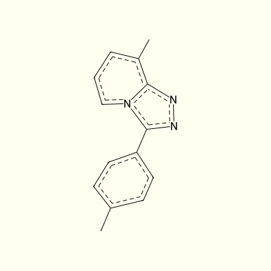 Cc1ccc(-c2nnc3c(C)cccn23)cc1